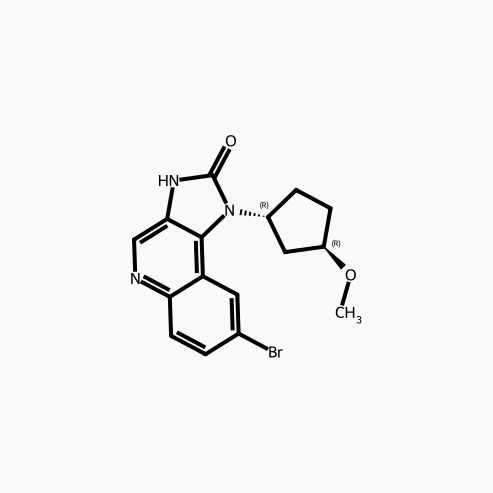 CO[C@@H]1CC[C@@H](n2c(=O)[nH]c3cnc4ccc(Br)cc4c32)C1